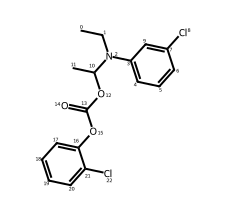 CCN(c1cccc(Cl)c1)C(C)OC(=O)Oc1ccccc1Cl